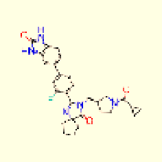 O=C(C1CC1)N1CC[C@@H](CN2C(=O)C3(CCCC3)N=C2c2ccc(-c3ccc4[nH]c(=O)[nH]c4c3)cc2F)C1